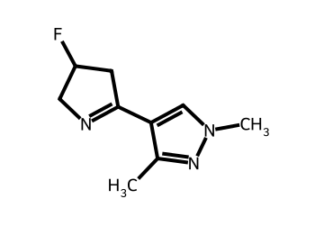 Cc1nn(C)cc1C1=NCC(F)C1